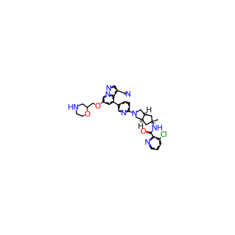 C[C@@]1(NC(=O)c2ncccc2Cl)C[C@H]2CN(c3ccc(-c4cc(OCC5CNCCO5)cn5ncc(C#N)c45)cn3)C[C@H]2C1